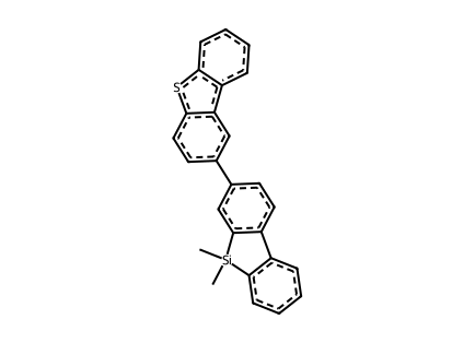 C[Si]1(C)c2ccccc2-c2ccc(-c3ccc4sc5ccccc5c4c3)cc21